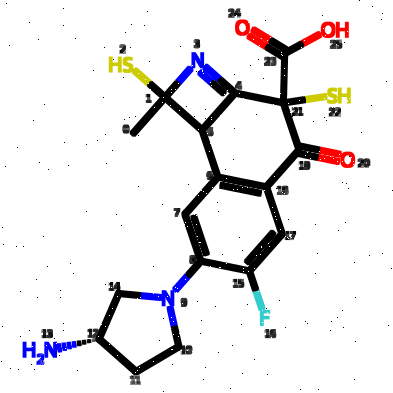 CC1(S)N=C2C1c1cc(N3CC[C@H](N)C3)c(F)cc1C(=O)C2(S)C(=O)O